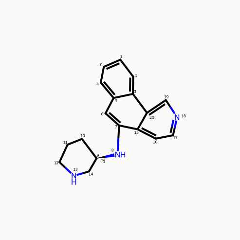 c1ccc2c(c1)cc(N[C@@H]1CCCNC1)c1ccncc12